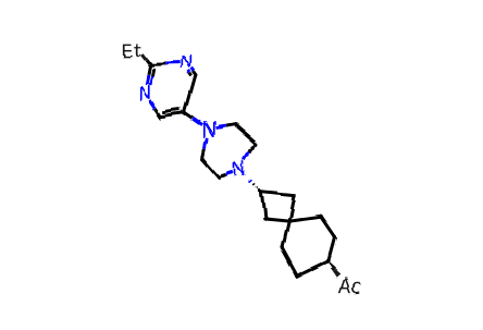 CCc1ncc(N2CCN([C@H]3CC4(CC[C@H](C(C)=O)CC4)C3)CC2)cn1